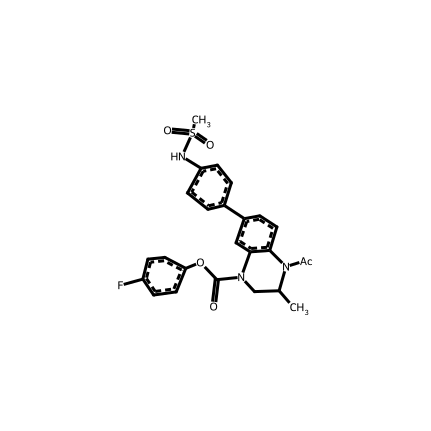 CC(=O)N1c2ccc(-c3ccc(NS(C)(=O)=O)cc3)cc2N(C(=O)Oc2ccc(F)cc2)CC1C